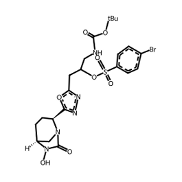 CC(C)(C)OC(=O)NCC(Cc1nnc([C@@H]2CC[C@H]3CN2C(=O)N3O)o1)OS(=O)(=O)c1ccc(Br)cc1